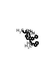 C=C\C=C/C(=C/C)C(=C\C)/c1ccc(\C=C/C(C/C=C\C=C/C)=C(\C=C\N/C(C=C)=C/c2cccc3ccccc23)c2ccc(-c3ccccc3)cc2)cc1